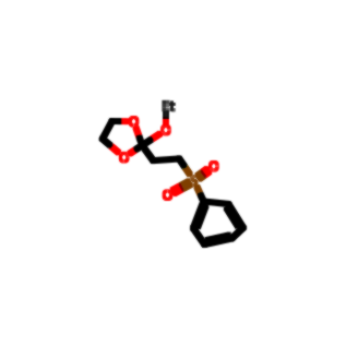 CCOC1(CCS(=O)(=O)c2ccccc2)OCCO1